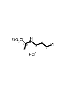 CCOC(=O)[C@@H](C)NCCCCl.Cl